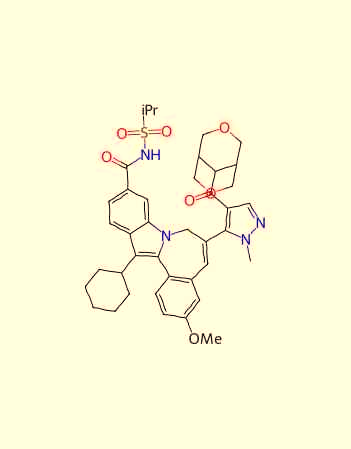 COc1ccc2c(c1)C=C(c1c(C(=O)C3C4COCC3COC4)cnn1C)Cn1c-2c(C2CCCCC2)c2ccc(C(=O)NS(=O)(=O)C(C)C)cc21